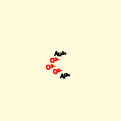 [Al+3].[Au+3].[O-2].[O-2].[O-2]